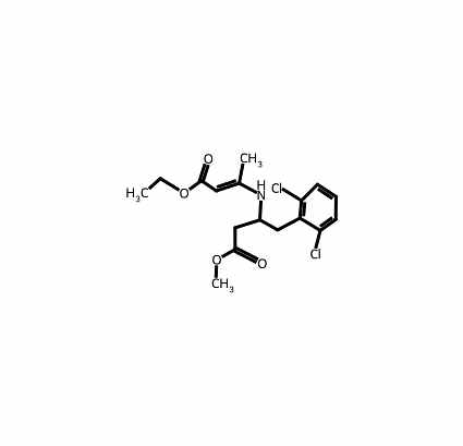 CCOC(=O)C=C(C)NC(CC(=O)OC)Cc1c(Cl)cccc1Cl